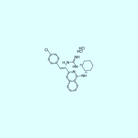 Cl.Cl.N=C(N)N[C@@H]1CCCC[C@@H]1Nc1nc(C=Cc2ccc(Cl)cc2)cc2ccccc12